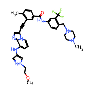 COCCn1cc(Nc2cccn3c(C#Cc4cc(C(=O)Nc5ccc(CN6CCN(C)CC6)c(C(F)(F)F)c5)ccc4C)cnc23)cn1